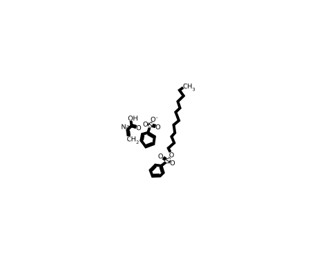 C=CC(=O)O.CCCCCCCCCCCCOS(=O)(=O)c1ccccc1.O=S(=O)([O-])c1ccccc1.[Na+]